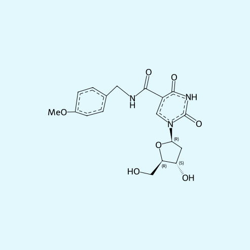 COc1ccc(CNC(=O)c2cn([C@H]3C[C@H](O)[C@@H](CO)O3)c(=O)[nH]c2=O)cc1